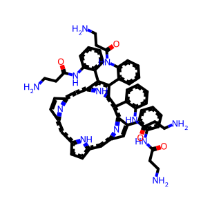 NCCC(=O)Nc1ccccc1C1=Cc2cc3ccc(cc4nc(cc5[nH]c(c(-c6ccccc6NC(=O)CCN)c1n2)c(-c1ccccc1NC(=O)CCN)c5-c1ccccc1NC(=O)CCN)C=C4)[nH]3